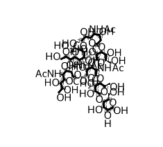 CC(=O)N[C@H]1[C@H](O[C@@H]2[C@H](O)[C@@H](O)[C@H](O[C@H]3[C@H](O)[C@@H](O)[C@H](O)O[C@@H]3CO)O[C@@H]2CO)O[C@H](CO[C@]2(C(=O)O)C[C@H](O)[C@@H](NC(C)=O)[C@H]([C@H](O)[C@H](O)CO)O2)[C@H](O)[C@@H]1O[C@@H]1O[C@H](CO)[C@H](O)[C@H](O[C@]2(C(=O)O)C[C@H](O)[C@@H](NC(C)=O)[C@H]([C@H](O)[C@@H](CO)O[C@]3(C(=O)O)C[C@H](O)[C@@H](NC(C)=O)[C@H]([C@H](O)[C@H](O)CO)O3)O2)[C@H]1O